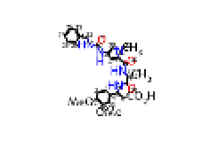 COc1ccc(C(CC(=O)O)NC(=O)[C@@H](C)NC(=O)c2cc(NC(=O)NCc3ccccc3)cn2C)cc1OC